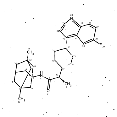 C[C@@H](C(=O)NC12CC3CC(C)(CC(C)(C3)C1)C2)[C@H]1CC[C@@H](c2ccnc3ccc(F)cc32)CC1